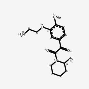 COc1ccc(C(=O)C(=O)N2CCCCC2C(C)=O)cc1OCCN